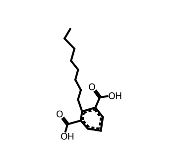 CCCCCCCCc1c(C(=O)O)cccc1C(=O)O